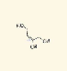 N#C/C(=C/CO)CO